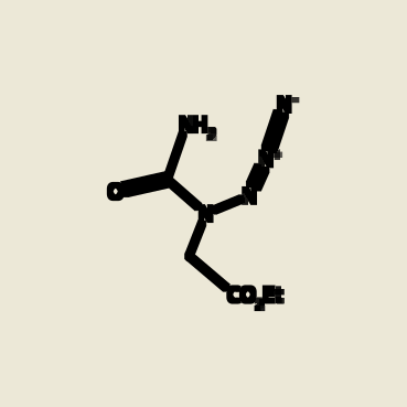 CCOC(=O)CN(N=[N+]=[N-])C(N)=O